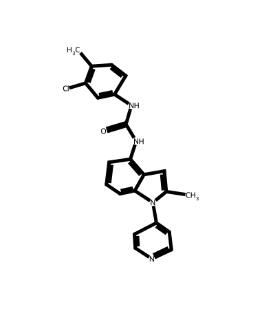 Cc1ccc(NC(=O)Nc2cccc3c2cc(C)n3-c2ccncc2)cc1Cl